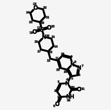 O=c1ccn(-c2cnn3ccc(CC4CCN(S(=O)(=O)C5CCOCC5)CC4)cc23)c(=O)[nH]1